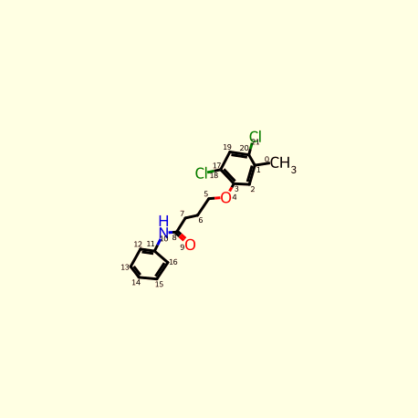 Cc1cc(OCCCC(=O)Nc2ccccc2)c(Cl)cc1Cl